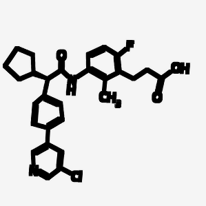 Cc1c(NC(=O)[C@@H](c2ccc(-c3cncc(Cl)c3)cc2)C2CCCC2)ccc(F)c1CCC(=O)O